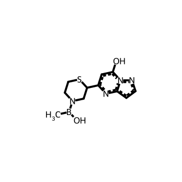 CB(O)N1CCSC(c2cc(O)n3nccc3n2)C1